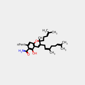 CCCCCc1cc2c(c(O)c1C(N)=O)C=C(CC=C(C)CCC=C(C)C)C(C)(CCC=C(C)C)O2